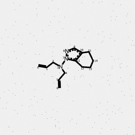 C=CCN(CC=C)n1ncc2c1CCCC2